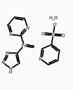 O.O=S(=O)([O-])c1cccnc1.[CH2]=[Pd+]([c]1c[nH]nn1)[c]1ncccn1